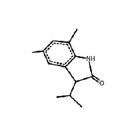 Cc1cc(C)c2c(c1)C(C(C)C)C(=O)N2